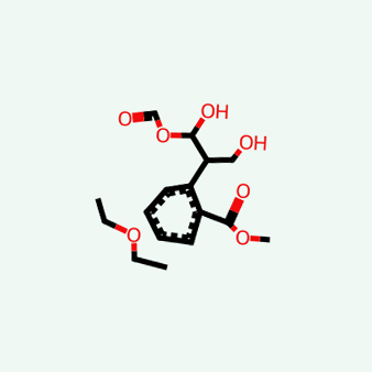 CCOCC.COC(=O)c1ccccc1C(CO)C(O)OC=O